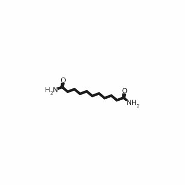 NC(=O)CCCCCCCCCC(N)=O